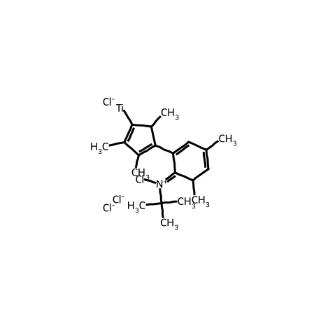 CC1=CC(C)C(=[N+](Cl)C(C)(C)C)C(C2=C(C)C(C)=[C]([Ti])C2C)=C1.[Cl-].[Cl-].[Cl-]